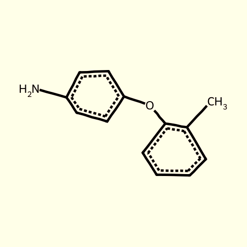 Cc1ccccc1Oc1ccc(N)cc1